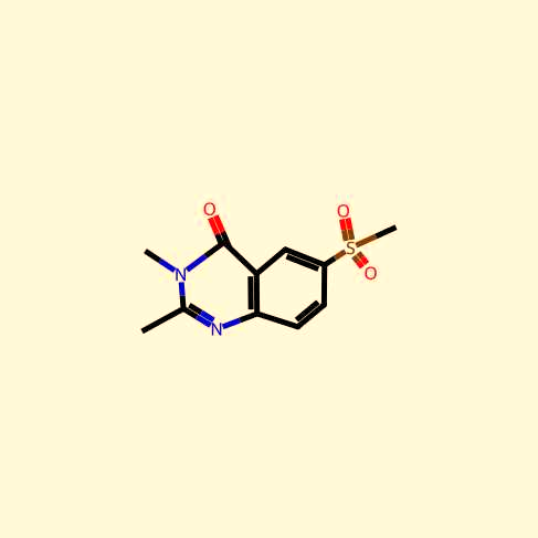 Cc1nc2ccc(S(C)(=O)=O)cc2c(=O)n1C